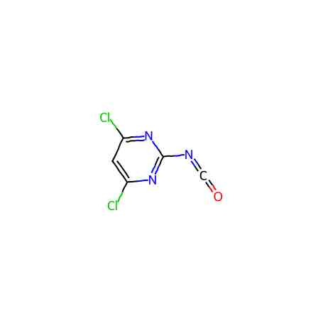 O=C=Nc1nc(Cl)cc(Cl)n1